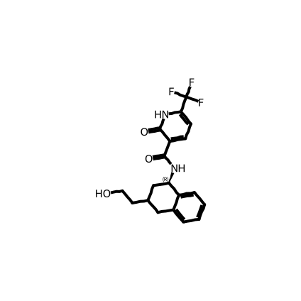 O=C(N[C@@H]1CC(CCO)Cc2ccccc21)c1ccc(C(F)(F)F)[nH]c1=O